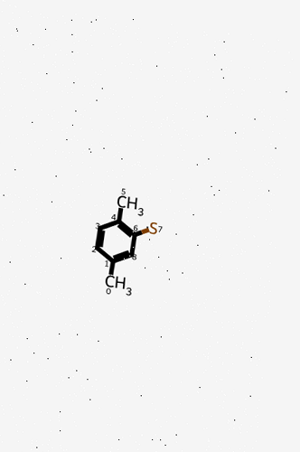 Cc1ccc(C)c([S])c1